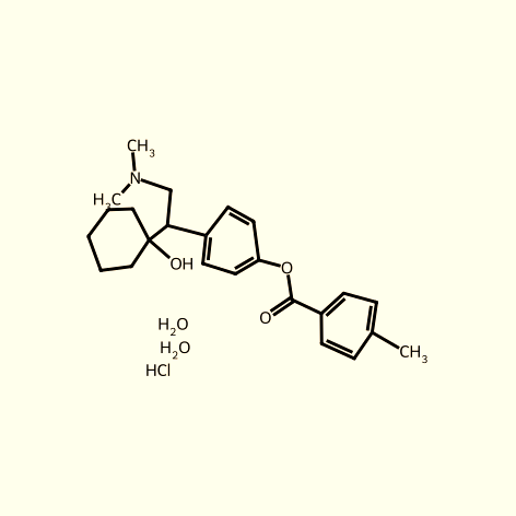 Cc1ccc(C(=O)Oc2ccc(C(CN(C)C)C3(O)CCCCC3)cc2)cc1.Cl.O.O